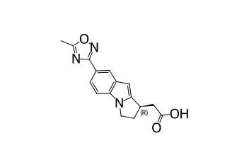 Cc1nc(-c2ccc3c(c2)cc2n3CC[C@@H]2CC(=O)O)no1